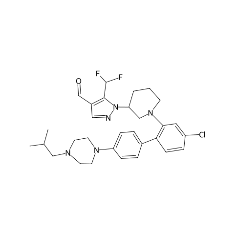 CC(C)CN1CCN(c2ccc(-c3ccc(Cl)cc3N3CCCC(n4ncc(C=O)c4C(F)F)C3)cc2)CC1